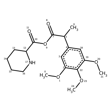 COc1cc(C(C)C(=O)OC(=O)C2CCCCN2)cc(OC)c1OC